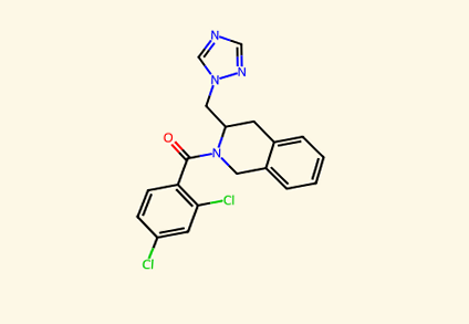 O=C(c1ccc(Cl)cc1Cl)N1Cc2ccccc2CC1Cn1cncn1